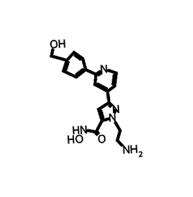 NCCn1nc(-c2ccnc(-c3ccc(CO)cc3)c2)cc1C(=O)NO